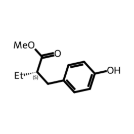 [CH2+][CH-][C@@H](Cc1ccc(O)cc1)C(=O)OC